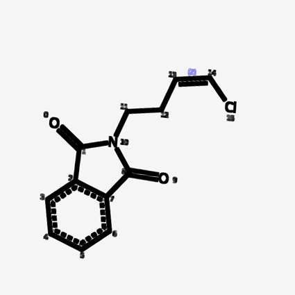 O=C1c2ccccc2C(=O)N1CC/C=C\Cl